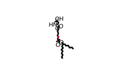 CCCCCCCCC(CCCCCC)OC(=O)C(C)(C)CCCCCCOC(=O)[C@@H]1C[C@H](O)CN1